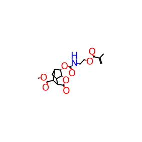 C=C(C)C(=O)OCCNC(=O)OC1C2CC3C1OC(=O)C3C2C(=O)OC